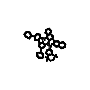 CC1(C)CCC(C)(C)c2cc(N3B4c5c(cc6ccccc6c5-n5c6ccc(-c7ccccc7)cc6c6cc(-c7ccccc7)cc4c65)-c4cc5ccccc5cc43)ccc21